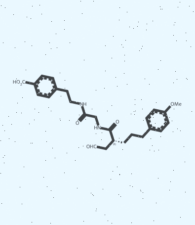 COc1ccc(CCC[C@H](CC=O)C(=O)NCC(=O)NCCc2ccc(C(=O)O)cc2)cc1